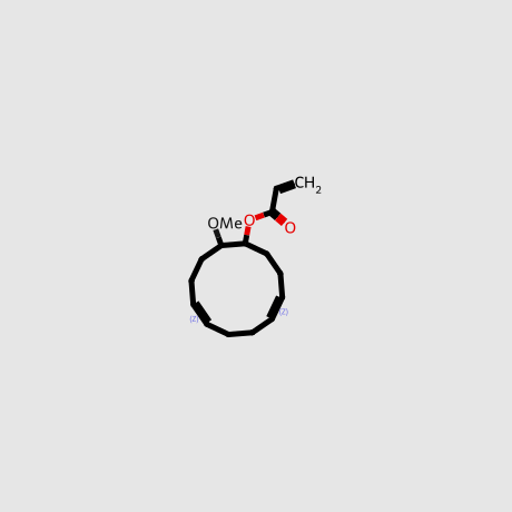 C=CC(=O)OC1CC/C=C\CC/C=C\CCC1OC